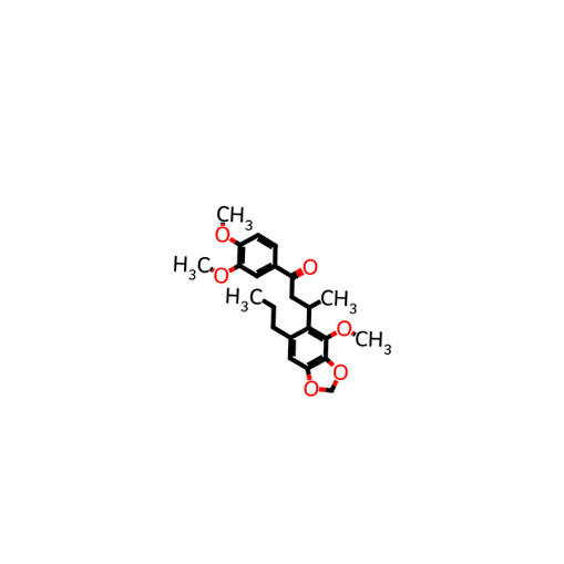 CCCc1cc2c(c(OC)c1C(C)CC(=O)c1ccc(OC)c(OC)c1)OCO2